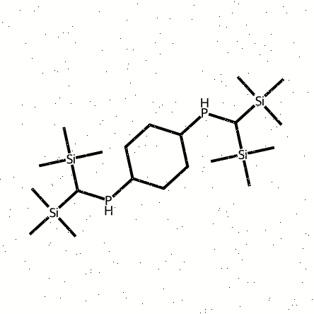 C[Si](C)(C)C(PC1CCC(PC([Si](C)(C)C)[Si](C)(C)C)CC1)[Si](C)(C)C